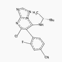 C[C@@H](Nc1c(-c2ccc(C#N)cc2F)c(Cl)nc2ncnn12)C(C)(C)C